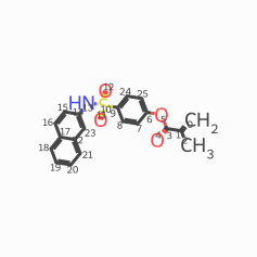 C=C(C)C(=O)Oc1ccc(S(=O)(=O)Nc2ccc3ccccc3c2)cc1